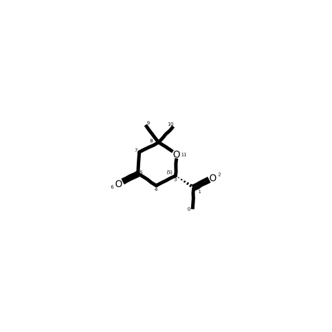 CC(=O)[C@@H]1CC(=O)CC(C)(C)O1